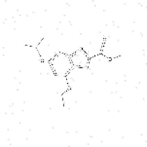 CCOc1cc(OC(C)C)cc2sc(C(=O)OC)cc12